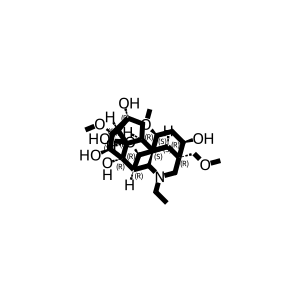 CCN1C[C@]2(COC)[C@H](O)C[C@H](OC)[C@]34C1[C@H]([C@H](OC)[C@H]23)[C@]1(O)[C@H]2[C@@H](O)[C@](O)(C[C@H]24)[C@@H](OC)[C@@H]1O